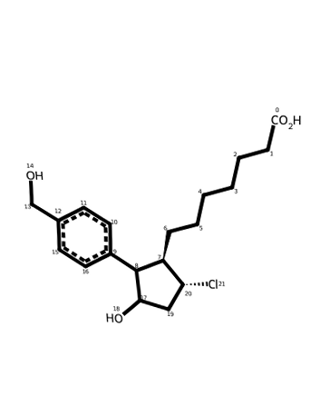 O=C(O)CCCCCC[C@@H]1C(c2ccc(CO)cc2)C(O)C[C@H]1Cl